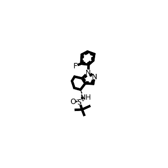 CC(C)(C)[S@@+]([O-])N[C@@H]1CCCc2c1cnn2-c1ccccc1F